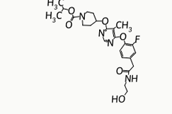 Cc1c(Oc2ccc(CC(=O)NCCO)cc2F)ncnc1OC1CCN(C(=O)OC(C)C)CC1